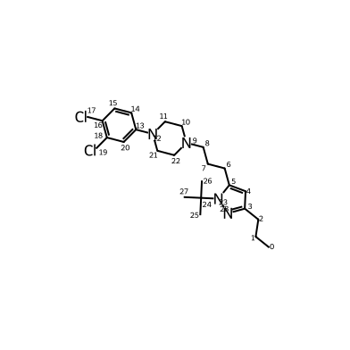 CCCc1cc(CCCN2CCN(c3ccc(Cl)c(Cl)c3)CC2)n(C(C)(C)C)n1